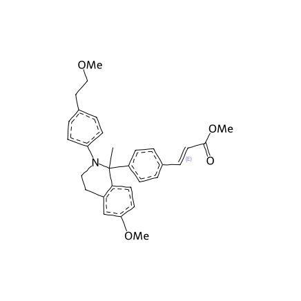 COCCc1ccc(N2CCc3cc(OC)ccc3C2(C)c2ccc(/C=C/C(=O)OC)cc2)cc1